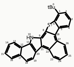 CC(C)(C)c1cccc2c1sc1c3[nH]c4c5ccccc5ccc4c3c3ccccc3c21